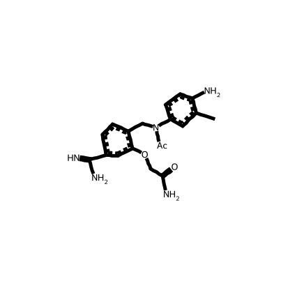 CC(=O)N(Cc1ccc(C(=N)N)cc1OCC(N)=O)c1ccc(N)c(C)c1